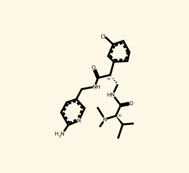 CC(C)[C@H](C(=O)NC[C@H](C(=O)NCc1ccc(N)nc1)c1cccc(Cl)c1)N(C)C